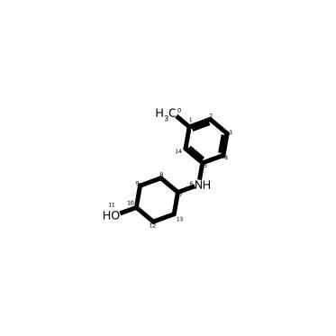 Cc1cc[c]c(NC2CCC(O)CC2)c1